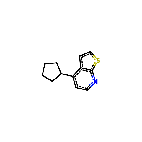 c1cc(C2CCCC2)c2ccsc2n1